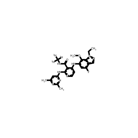 [2H]C([2H])([2H])NC(=O)c1c(Nc2cc(F)c3cnn(CC)c3c2OC)ccnc1Nc1cc(C)nc(C)n1